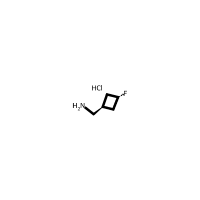 Cl.NC[C@H]1C[C@H](F)C1